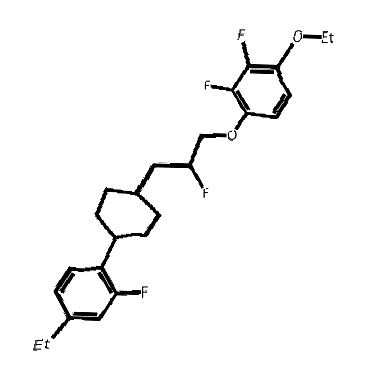 CCOc1ccc(OCC(F)CC2CCC(c3ccc(CC)cc3F)CC2)c(F)c1F